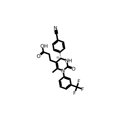 CC1=C(CCC(=O)O)[C@H](c2ccc(C#N)cc2)NC(=O)N1c1cccc(C(F)(F)F)c1